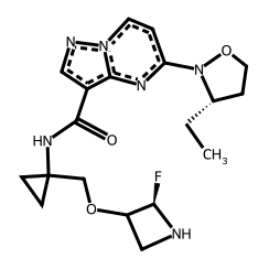 CC[C@H]1CCON1c1ccn2ncc(C(=O)NC3(COC4CN[C@@H]4F)CC3)c2n1